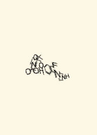 CC(C)(C)C1(COc2ccc(N3CCNCC3)c(F)c2)CN(C(=O)O)CCO1